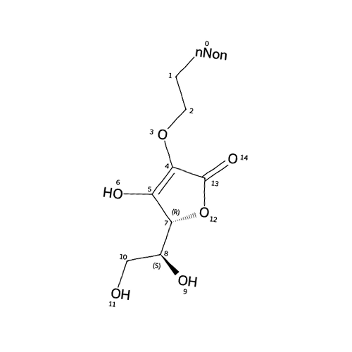 CCCCCCCCCCCOC1=C(O)[C@@H]([C@@H](O)CO)OC1=O